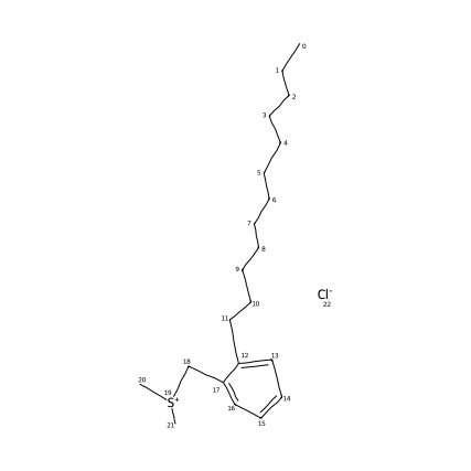 CCCCCCCCCCCCc1ccccc1C[S+](C)C.[Cl-]